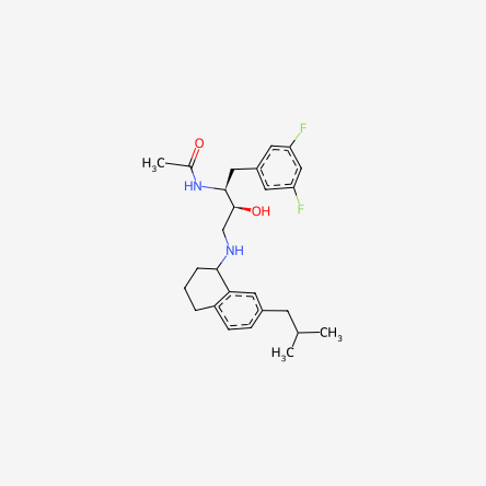 CC(=O)N[C@@H](Cc1cc(F)cc(F)c1)[C@@H](O)CNC1CCCc2ccc(CC(C)C)cc21